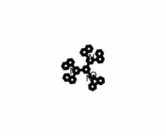 c1ccc2c(-c3cc(-c4cc(-c5cc(-c6cccc7ccccc67)nc(-c6cccc7ccccc67)c5)cc(-c5nc6c7ccccc7c7ccccc7c6o5)c4)cc(-c4cccc5ccccc45)n3)cccc2c1